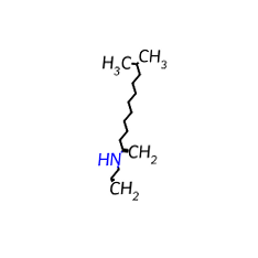 C=CCNC(=C)CCCCCCCCC(C)C